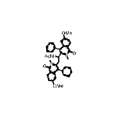 COc1ccc2c(=O)n(C)c(CC(NC(C)=O)c3c(-c4ccccc4)c4cc(OC)ccc4c(=O)n3C)c(-c3ccccc3)c2c1